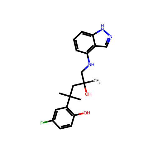 CC(C)(CC(O)(CNc1cccc2[nH]ncc12)C(F)(F)F)c1cc(F)ccc1O